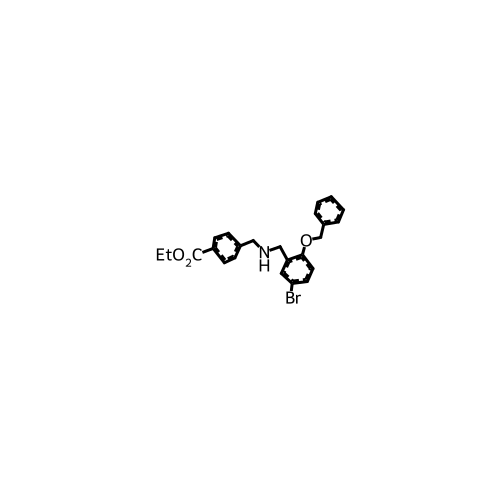 CCOC(=O)c1ccc(CNCc2cc(Br)ccc2OCc2ccccc2)cc1